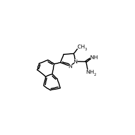 CC1CC(c2cccc3ccccc23)=NN1C(=N)N